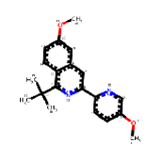 COc1ccc(-c2cc3cc(OC)ccc3c(C(C)(C)C)n2)nc1